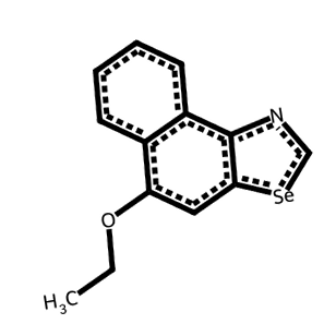 CCOc1cc2[se]cnc2c2ccccc12